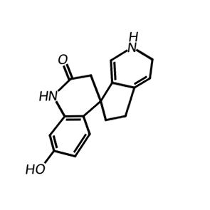 O=C1CC2(CCC3=CCNC=C32)c2ccc(O)cc2N1